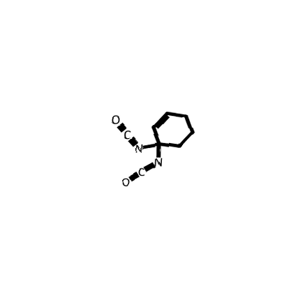 O=C=NC1(N=C=O)C=CCCC1